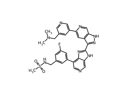 CN(C)Cc1cncc(-c2cc3c(-c4nc5c(-c6cc(F)cc(CNS(C)(=O)=O)c6)cncc5[nH]4)n[nH]c3cn2)c1